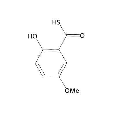 COc1ccc(O)c(C(=O)S)c1